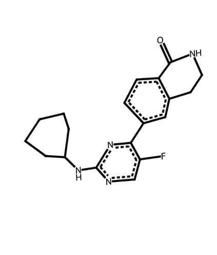 O=C1NCCc2cc(-c3nc(NC4CCCCC4)ncc3F)ccc21